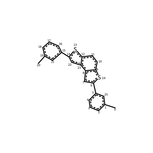 Cc1cccc(-c2cc3c(ccc4sc(-c5cccc(C)c5)cc43)s2)c1